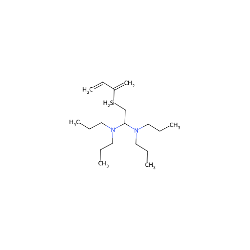 C=CC(=C)[SiH2]CC(N(CCC)CCC)N(CCC)CCC